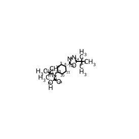 CC(C)(C)c1nnc([C@H]2CC[C@H](N(C(=O)O)C(C)(C)C)CC2)o1